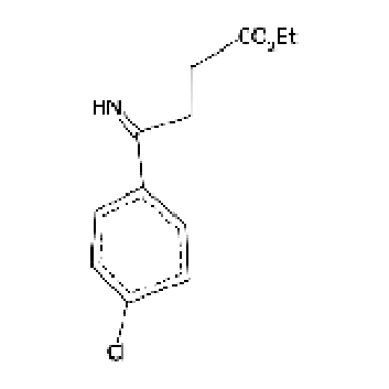 CCOC(=O)CCC(=N)c1ccc(Cl)cc1